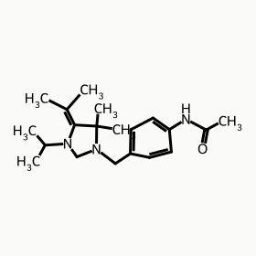 CC(=O)Nc1ccc(CN2CN(C(C)C)C(=C(C)C)C2(C)C)cc1